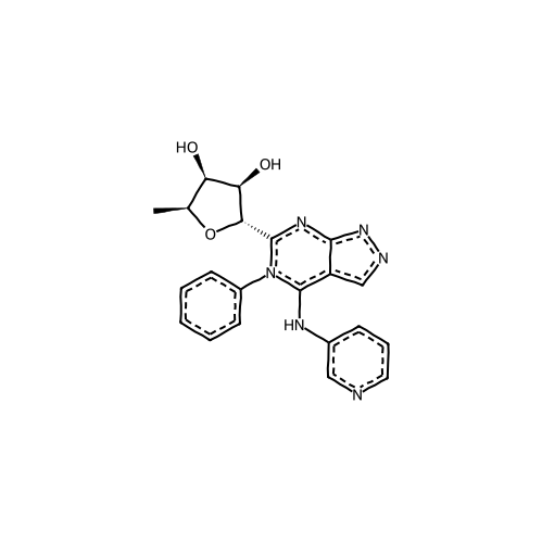 C[C@@H]1O[C@@H](c2nc3nncc-3c(Nc3cccnc3)n2-c2ccccc2)[C@H](O)[C@@H]1O